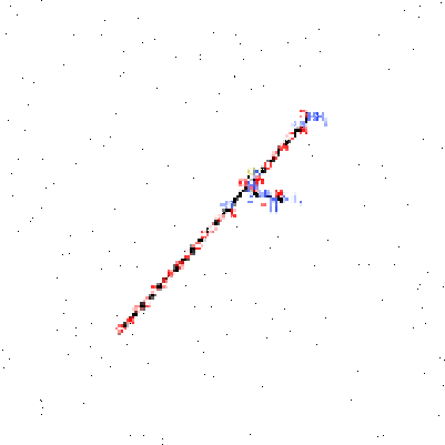 COCCOCCOCCOCCOCCOCCOCCOCCOCCOCCOCCOCCOCCC(=O)NCCCC[C@H](NC(=O)CNC(=O)CNC(=O)CN)C(=O)N[C@@H](CS)C(=O)NCCOCCOCCOCCOCCC(=O)NCC(N)=O